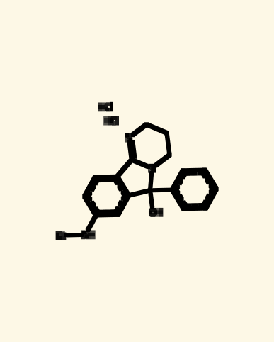 CCNc1ccc2c(c1)C(O)(c1ccccc1)N1CCCN=C21.Cl.Cl